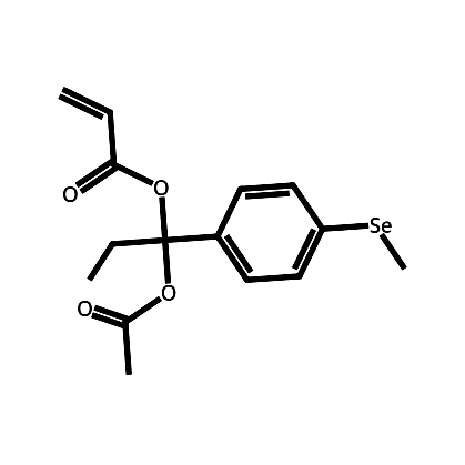 C=CC(=O)OC(CC)(OC(C)=O)c1ccc([Se]C)cc1